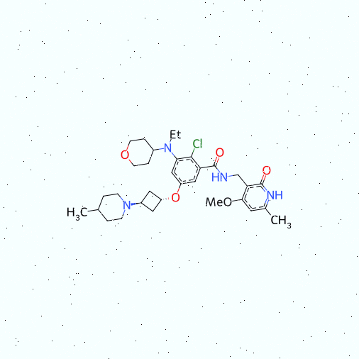 CCN(c1cc(O[C@H]2C[C@H](N3CCC(C)CC3)C2)cc(C(=O)NCc2c(OC)cc(C)[nH]c2=O)c1Cl)C1CCOCC1